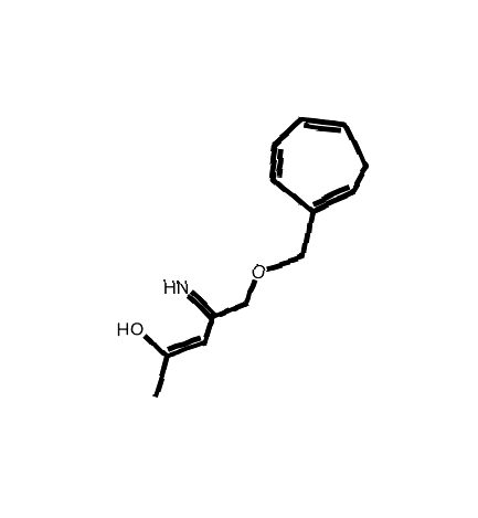 C/C(O)=C/C(=N)COCC1=CCC=CC=C1